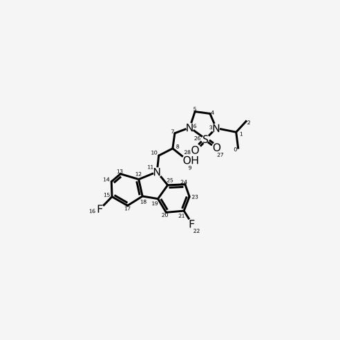 CC(C)N1CCN(CC(O)Cn2c3ccc(F)cc3c3cc(F)ccc32)S1(=O)=O